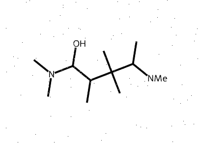 CNC(C)C(C)(C)C(C)C(O)N(C)C